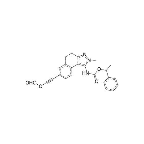 CC(OC(=O)Nc1c2c(nn1C)CCc1cc(C#COC=O)ccc1-2)c1ccccc1